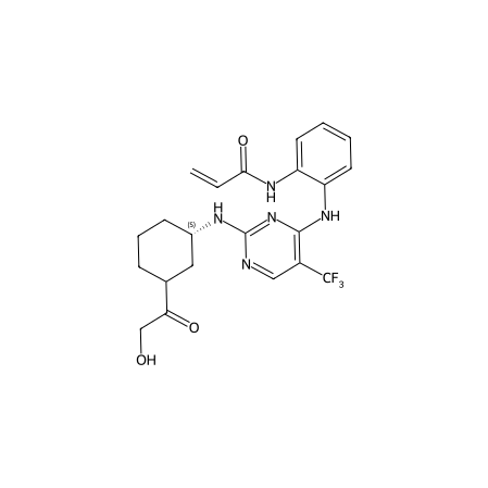 C=CC(=O)Nc1ccccc1Nc1nc(N[C@H]2CCCC(C(=O)CO)C2)ncc1C(F)(F)F